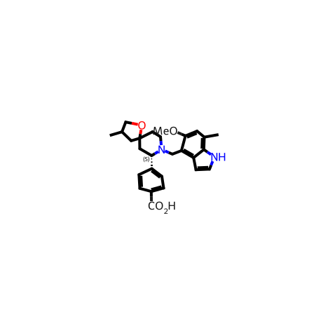 COc1cc(C)c2[nH]ccc2c1CN1CCC2(CC(C)CO2)C[C@H]1c1ccc(C(=O)O)cc1